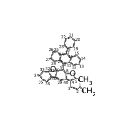 C=C/C=C\c1c(C)oc2c(-c3c4ccccc4c(-c4ccccc4)c4ccccc34)c3oc4ccccc4c3cc12